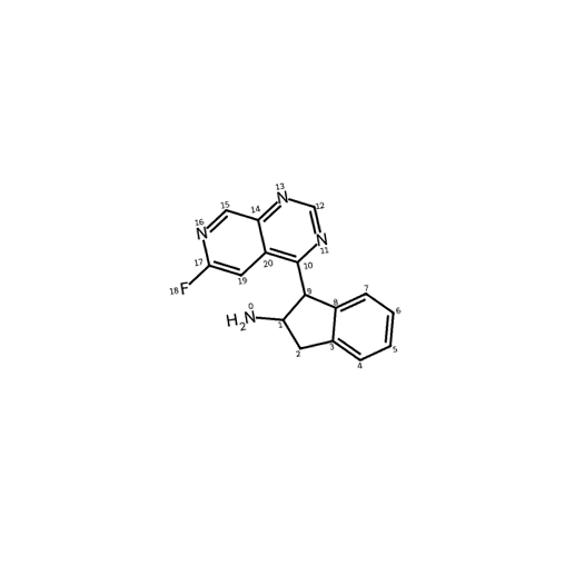 NC1Cc2ccccc2C1c1ncnc2cnc(F)cc12